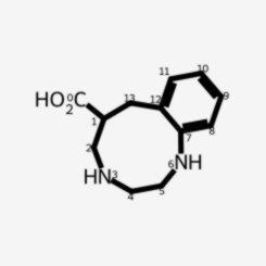 O=C(O)C1CNCCNc2ccccc2C1